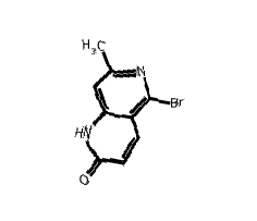 Cc1cc2[nH]c(=O)ccc2c(Br)n1